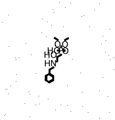 CCOC(OCC)P(=O)(O)C[C@H](O)CNCCc1ccccc1